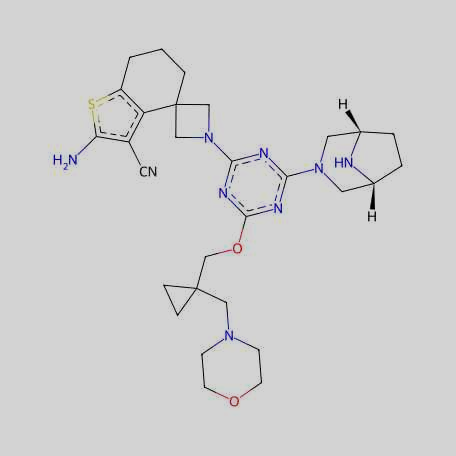 N#Cc1c(N)sc2c1C1(CCC2)CN(c2nc(OCC3(CN4CCOCC4)CC3)nc(N3C[C@H]4CC[C@@H](C3)N4)n2)C1